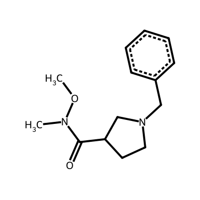 CON(C)C(=O)C1CCN(Cc2ccccc2)C1